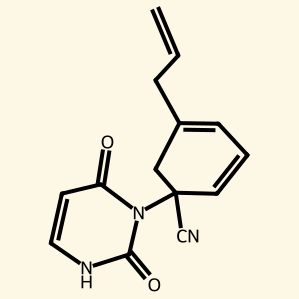 C=CCC1=CC=CC(C#N)(n2c(=O)cc[nH]c2=O)C1